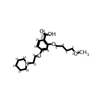 COCCCCOc1cc(OCCN2CCCCC2)ccc1C(=O)O